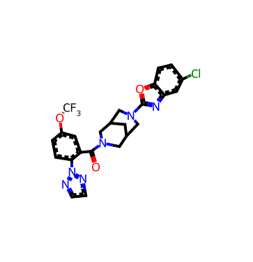 O=C(c1cc(OC(F)(F)F)ccc1-n1nccn1)N1CC2CC(C1)CN(c1nc3cc(Cl)ccc3o1)C2